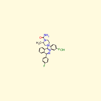 CC1C[N+](c2ccc(F)cc2)(c2nnc(-c3ccc(F)cc3)c3ccccc23)CCN1C(N)=O.Cl